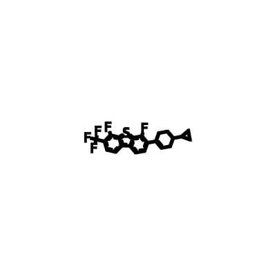 Fc1c(C2=CCC(C3CC3)CC2)ccc2c1sc1c(F)c(C(F)(F)F)ccc12